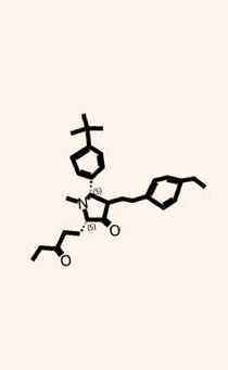 CCC(=O)CC[C@H]1C(=O)C(CCc2ccc(CC)cc2)[C@@H](c2ccc(C(C)(C)C)cc2)N1C